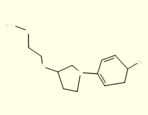 COCCOC1CCN(C2=CCC(Br)C=C2)C1